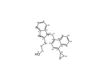 OCCSc1nc2ncccc2n1Cc1ccc(C2CC2)c2ccccc12